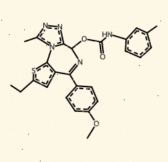 CCc1cc2c(s1)-n1c(C)nnc1C(OC(=O)Nc1cccc(C)c1)N=C2c1ccc(OC)cc1